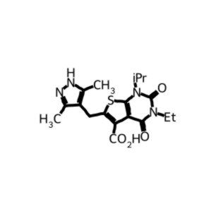 CCn1c(=O)c2c(C(=O)O)c(Cc3c(C)n[nH]c3C)sc2n(C(C)C)c1=O